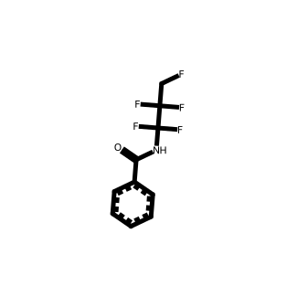 O=C(NC(F)(F)C(F)(F)CF)c1ccccc1